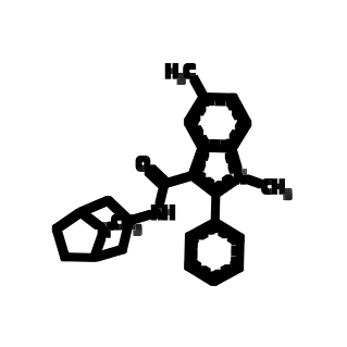 Cc1ccc2c(c1)c(C(=O)NC1CC3CCC(C1)N3C)c(-c1ccccc1)n2C